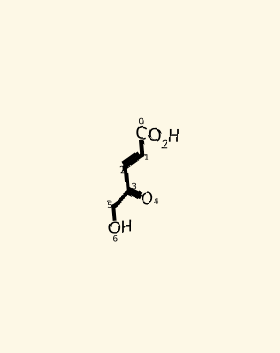 O=C(O)/C=C/C(=O)CO